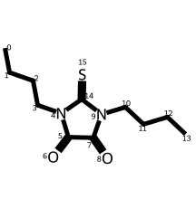 CCCCN1C(=O)C(=O)N(CCCC)C1=S